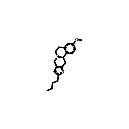 CCCCc1cc2c(s1)CC1c3ccc(OC)cc3CCN1C2